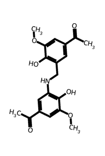 COc1cc(C(C)=O)cc(CNc2cc(C(C)=O)cc(OC)c2O)c1O